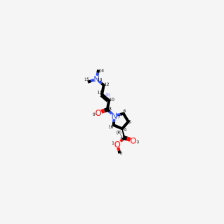 COC(=O)[C@@H]1CCN(C(=O)/C=C/CN(C)C)C1